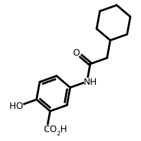 O=C(CC1CCCCC1)Nc1ccc(O)c(C(=O)O)c1